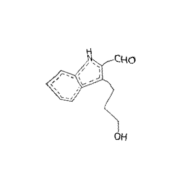 O=Cc1[nH]c2ccccc2c1CCCO